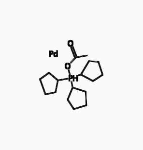 CC(=O)O[PH](C1CCCC1)(C1CCCC1)C1CCCC1.[Pd]